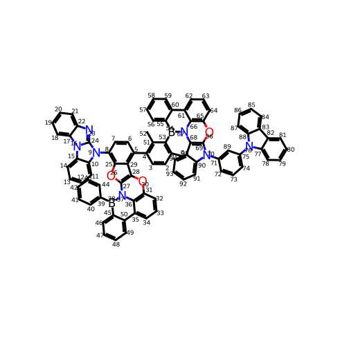 Cc1ccc(-c2ccc(-n3c4ccccc4n4c5ccccc5nc34)c3oc4c(c23)Oc2cccc3c2N4B(c2ccccc2)c2ccccc2-3)c(C)c1B1c2ccccc2-c2cccc3c2N1c1c(n(-c2cccc(-n4c5ccccc5c5ccccc54)c2)c2ccccc12)O3